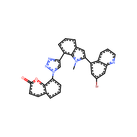 Cn1c(-c2cc(Br)cc3ncccc23)cc2cccc(-c3cn(-c4cccc5ccc(=O)oc45)nn3)c21